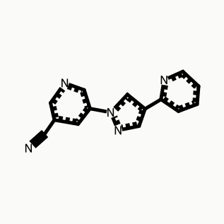 N#Cc1cncc(-n2cc(-c3ccccn3)cn2)c1